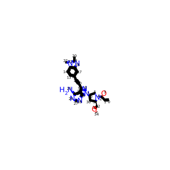 C=CC(=O)N1CC(n2nc(C#Cc3ccc4c(c3)nc(C)n4C)c3c(N)ncnc32)C[C@@H]1COC